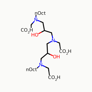 CCCCCCCCN(CC(=O)O)CC(O)CN(CC(=O)O)CC(O)CN(CCCCCCCC)CC(=O)O